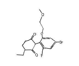 CCC1CCC(=O)C(c2c(F)cc(Br)cc2OCCOC)C1=O